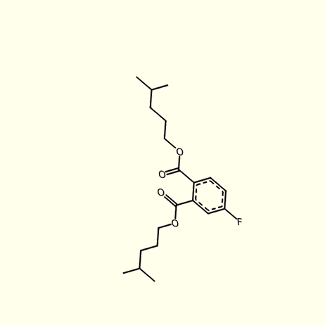 CC(C)CCCOC(=O)c1ccc(F)cc1C(=O)OCCCC(C)C